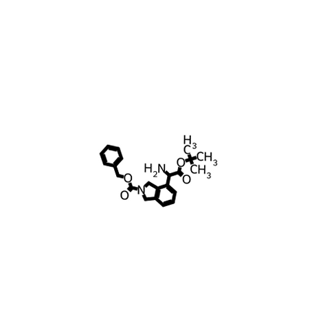 CC(C)(C)OC(=O)C(N)c1cccc2c1CN(C(=O)OCc1ccccc1)C2